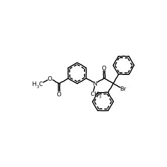 COC(=O)c1cccc(N(C)C(=O)C(Br)(c2ccccc2)c2ccccc2)c1